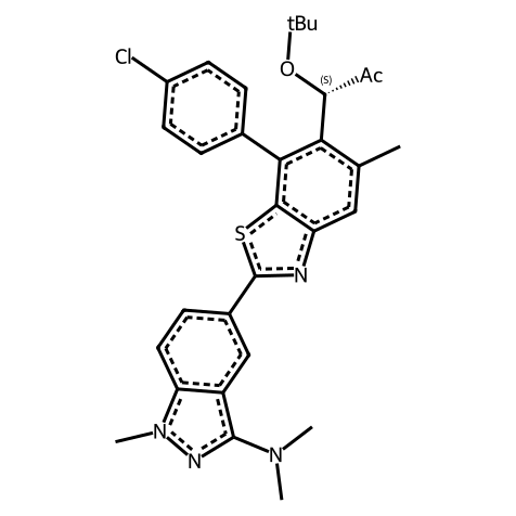 CC(=O)[C@@H](OC(C)(C)C)c1c(C)cc2nc(-c3ccc4c(c3)c(N(C)C)nn4C)sc2c1-c1ccc(Cl)cc1